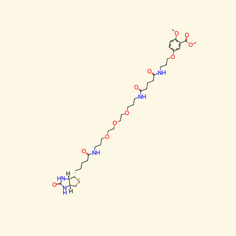 COC(=O)c1cc(OCCCNC(=O)CCCC(=O)NCCCOCCOCCOCCCNC(=O)CCCC[C@@H]2SC[C@@H]3NC(=O)N[C@@H]32)ccc1OC